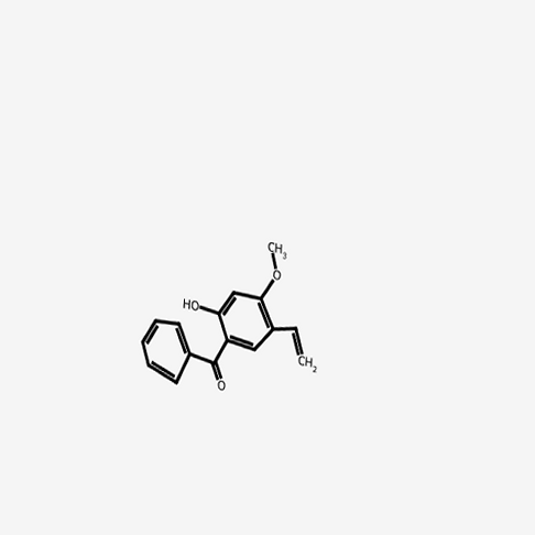 C=Cc1cc(C(=O)c2ccccc2)c(O)cc1OC